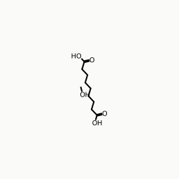 CO.O=C(O)CCCCCCCC(=O)O